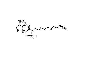 CC(=O)N[C@H](CC(C)C)C(=O)N[C@@H](CC(=O)O)C(=O)NCCOCCOCCN=[N+]=[N-]